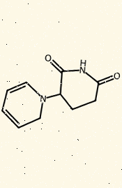 O=C1CCC(N2C=CC=CC2)C(=O)N1